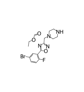 CCOC=O.Fc1ccc(Br)cc1-c1nc(CN2CCNCC2)no1